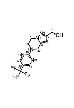 OCc1cc2n(n1)CCN(c1ncc(C(F)(F)F)cn1)C2